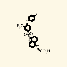 O=C(O)COc1cccc2c1CCCC2NS(=O)(=O)c1ccc(Oc2ccc(F)cc2)c(C(F)(F)F)c1